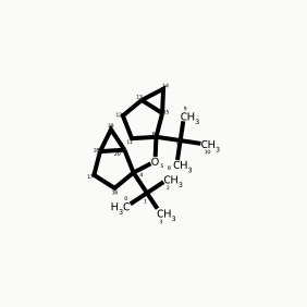 CC(C)(C)C1(OC2(C(C)(C)C)CCC3CC32)CCC2CC21